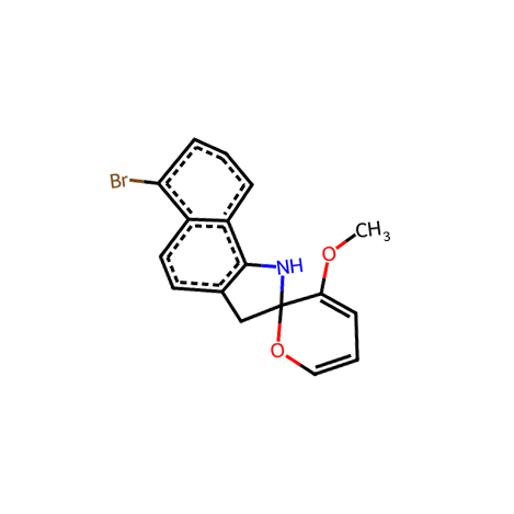 COC1=CC=COC12Cc1ccc3c(Br)cccc3c1N2